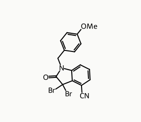 COc1ccc(CN2C(=O)C(Br)(Br)c3c(C#N)cccc32)cc1